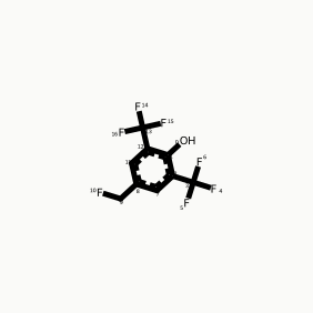 Oc1c(C(F)(F)F)cc(CF)cc1C(F)(F)F